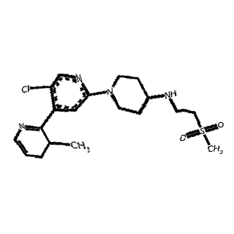 CC1CC=CN=C1c1cc(N2CCC(NCCS(C)(=O)=O)CC2)ncc1Cl